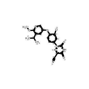 COc1ncc(Oc2ccc(-n3nc(C#N)c(=O)[nH]c3=O)cc2Cl)cc1C(C)C